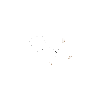 Br[Si](Br)(Br)C1CCC1